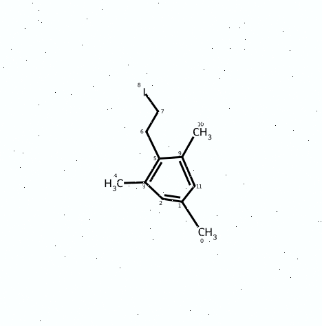 Cc1cc(C)c(CCI)c(C)c1